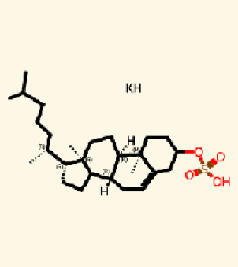 CC(C)CCC[C@@H](C)[C@H]1CCC2[C@H]3CC=C4CC(OS(=O)(=O)O)CC[C@]4(C)[C@@H]3CC[C@@]21C.[KH]